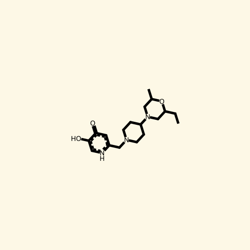 CCC1CN(C2CCN(Cc3cc(=O)c(O)c[nH]3)CC2)CC(C)O1